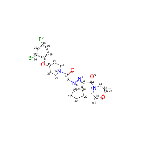 C[C@@H]1CN(C(=O)c2nn(CC(=O)N3CCC(Oc4ccc(F)cc4Br)CC3)c3c2CCC3)C[C@H](C)O1